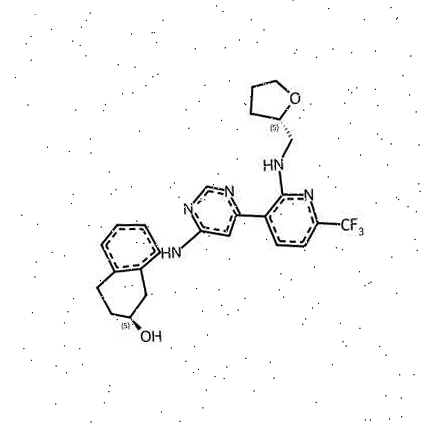 O[C@H]1CCc2cccc(Nc3cc(-c4ccc(C(F)(F)F)nc4NC[C@@H]4CCCO4)ncn3)c2C1